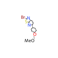 COCCOc1ccc(-c2ccc3nc(Br)sc3n2)cc1